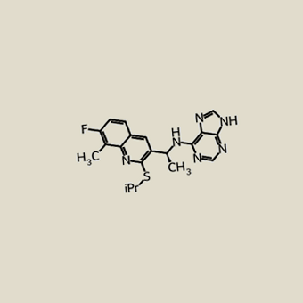 Cc1c(F)ccc2cc([C@H](C)Nc3ncnc4[nH]cnc34)c(SC(C)C)nc12